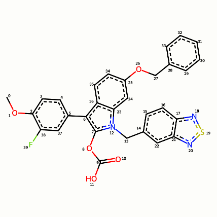 COc1ccc(-c2c(OC(=O)O)n(Cc3ccc4nsnc4c3)c3cc(OCc4ccccc4)ccc23)cc1F